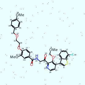 COCOc1c(-c2csc3c(F)cccc23)ccnc1C(=O)CNC(=O)c1ccc(OCCOCc2ccc(OC)cc2)c(OC)c1